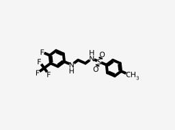 Cc1ccc(S(=O)(=O)NCCNc2ccc(F)c(C(F)(F)F)c2)cc1